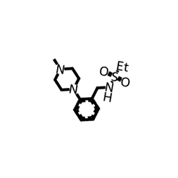 CCS(=O)(=O)NCc1ccccc1N1CCN(C)CC1